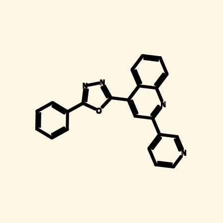 c1ccc(-c2nnc(-c3cc(-c4cccnc4)nc4ccccc34)o2)cc1